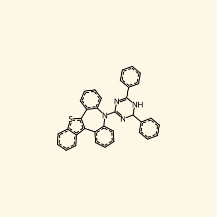 c1ccc(C2=NC(N3c4ccccc4-c4sc5ccccc5c4-c4ccccc43)=NC(c3ccccc3)N2)cc1